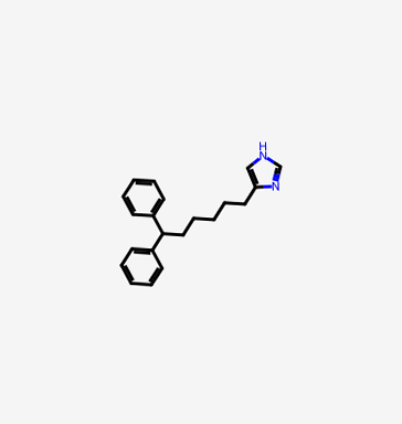 c1ccc(C(CCCCCc2c[nH]cn2)c2ccccc2)cc1